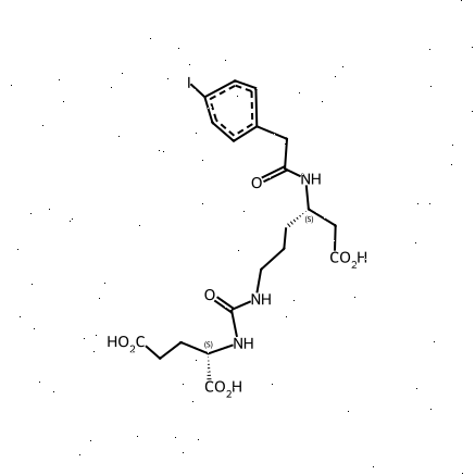 O=C(O)CC[C@H](NC(=O)NCCC[C@@H](CC(=O)O)NC(=O)Cc1ccc(I)cc1)C(=O)O